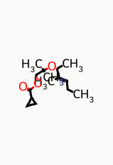 CC/C=C(\C)C(C)OC(C)(C)COC(=O)C1CC1